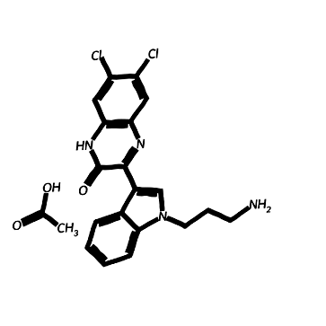 CC(=O)O.NCCCn1cc(-c2nc3cc(Cl)c(Cl)cc3[nH]c2=O)c2ccccc21